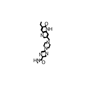 CCc1cc2ncc(CN3CCN(c4cnc(C(=O)NC)cn4)CC3)cc2[nH]c1=O